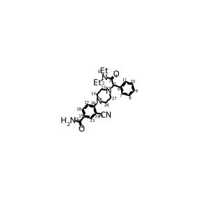 CCN(CC)C(=O)C(c1ccccc1)N1CCN(c2ccc(C(N)=O)cc2C#N)CC1